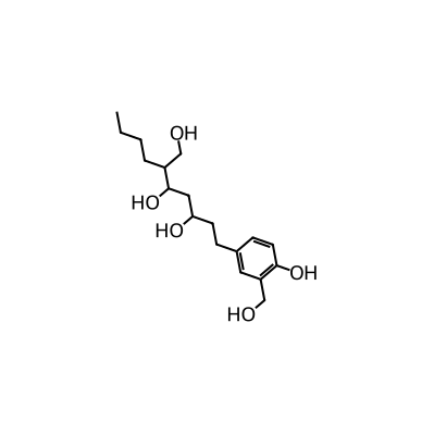 CCCCC(CO)C(O)CC(O)CCc1ccc(O)c(CO)c1